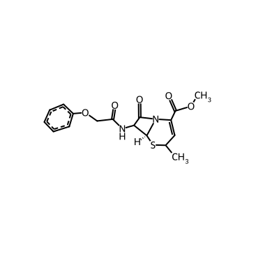 COC(=O)C1=CC(C)S[C@H]2C(NC(=O)COc3ccccc3)C(=O)N12